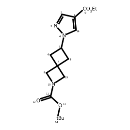 CCOC(=O)c1cnn(C2CC3(C2)CN(C(=O)OC(C)(C)C)C3)c1